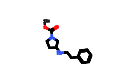 CC(C)(C)OC(=O)N1CCC(NCCc2ccccc2)C1